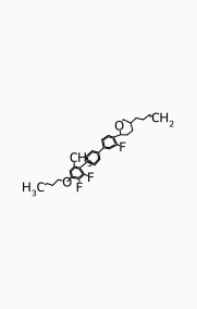 C=CCCC1CCC(c2ccc(-c3ccc(-c4c(C)cc(OCCCC)c(F)c4F)cc3)cc2F)OC1